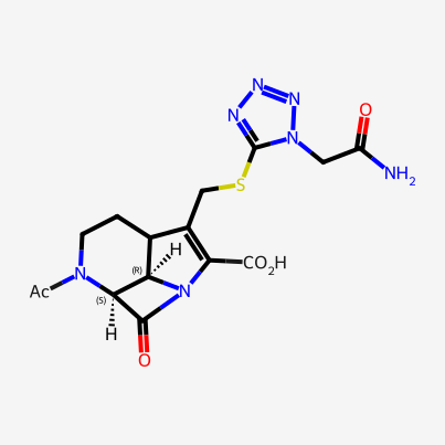 CC(=O)N1CCC2C(CSc3nnnn3CC(N)=O)=C(C(=O)O)N3C(=O)[C@@H]1[C@@H]23